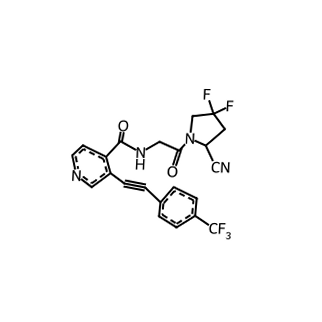 N#CC1CC(F)(F)CN1C(=O)CNC(=O)c1ccncc1C#Cc1ccc(C(F)(F)F)cc1